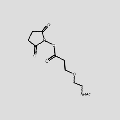 CC(=O)NCCOCCC(=O)ON1C(=O)CCC1=O